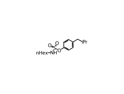 CCCCCCNS(=O)(=O)Oc1ccc(CC(C)C)cc1